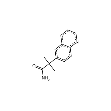 CC(C)(C(N)=O)c1ccc2ncccc2c1